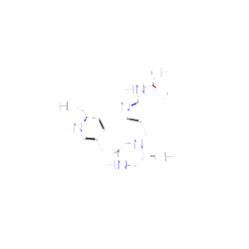 CC(=O)Nc1ncc(CN2C[C@@H](Cc3ccc(C)nc3)NC[C@@H]2C)s1